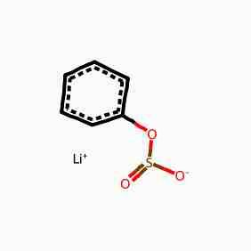 O=S([O-])Oc1ccccc1.[Li+]